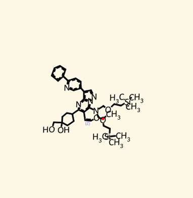 CCO/C=C\c1c(C2CCC(O)(CO)CC2)nc2c(-c3ccc(-c4ccccc4)nc3)cnn2c1N(COCC[Si](C)(C)C)COCC[Si](C)(C)C